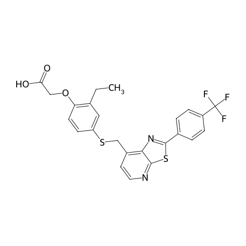 CCc1cc(SCc2ccnc3sc(-c4ccc(C(F)(F)F)cc4)nc23)ccc1OCC(=O)O